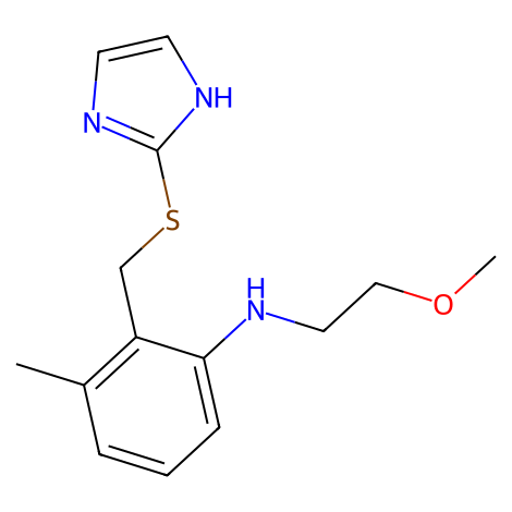 COCCNc1cccc(C)c1CSc1ncc[nH]1